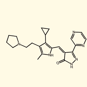 Cc1[nH]c(C=C2C(=O)NN=C2c2cnccn2)c(C2CC2)c1CCN1CCCC1